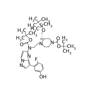 CC(C)(C)OC(=O)N1CCN(CCN(C(=O)OC(C)(C)C)c2ccn3ncc(-c4cc(O)ccc4F)c3n2)[C@H](CO[Si](C)(C)C(C)(C)C)C1